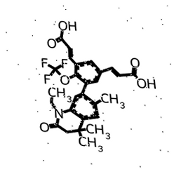 CCN1C(=O)CC(C)(C)c2cc(C)c(-c3cc(C=CC(=O)O)cc(C=CC(=O)O)c3OC(F)(F)F)cc21